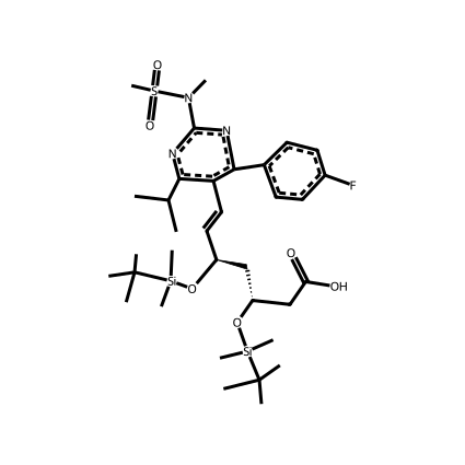 CC(C)c1nc(N(C)S(C)(=O)=O)nc(-c2ccc(F)cc2)c1/C=C/[C@@H](C[C@H](CC(=O)O)O[Si](C)(C)C(C)(C)C)O[Si](C)(C)C(C)(C)C